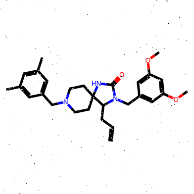 C=CCC1N(Cc2cc(OC)cc(OC)c2)C(=O)NC12CCN(Cc1cc(C)cc(C)c1)CC2